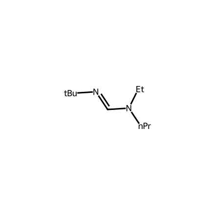 CCCN(/C=N/C(C)(C)C)CC